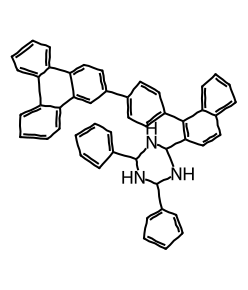 c1ccc(C2NC(c3ccccc3)NC(c3ccc4ccccc4c3-c3ccc(-c4ccc5c6ccccc6c6ccccc6c5c4)cc3)N2)cc1